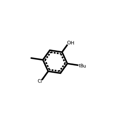 Cc1cc(O)c(C(C)(C)C)cc1Cl